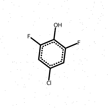 Oc1c(F)cc(Cl)cc1F